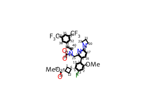 COc1cc(F)c([C@H]2C[C@@H](C(=O)OC)C2)cc1-c1ccc(N2CCC2)nc1CN1C(=O)O[C@H](c2cc(C(F)(F)F)cc(C(F)(F)F)c2)[C@@H]1C